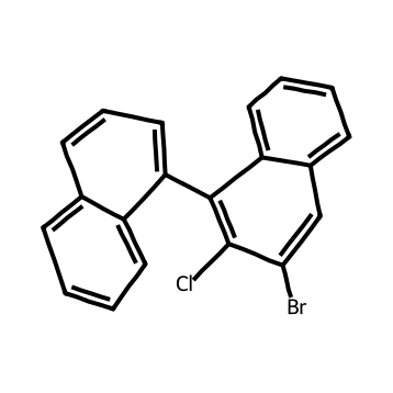 Clc1c(Br)cc2ccccc2c1-c1cccc2ccccc12